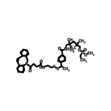 CCP(=O)(OC)OCC(C)(C)CC(C)(C)CNC(=O)c1ccc(C(C)SSCCNC(=O)CCC(=O)N2Cc3ccccc3C#Cc3ccccc32)cc1